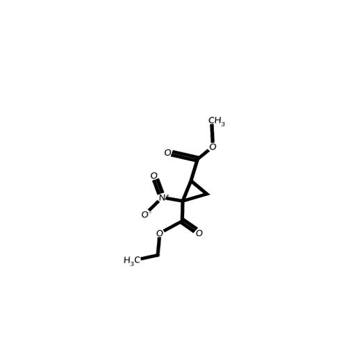 CCOC(=O)C1([N+](=O)[O-])CC1C(=O)OC